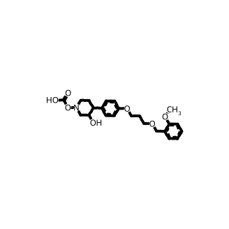 COc1ccccc1COCCCOc1ccc(C2CCN(OC(=O)O)CC2O)cc1